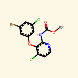 CC(C)(C)OC(=O)Nc1nccc(Cl)c1Oc1cc(Cl)cc(Br)c1